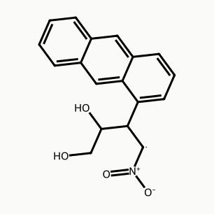 O=[N+]([O-])[CH]C(c1cccc2cc3ccccc3cc12)C(O)CO